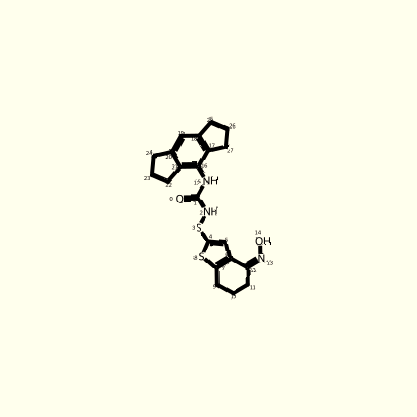 O=C(NSc1cc2c(s1)CCC/C2=N/O)Nc1c2c(cc3c1CCC3)CCC2